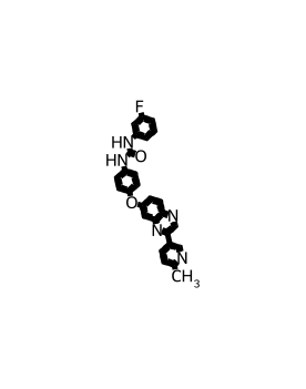 Cc1ccc(-c2cnc3ccc(Oc4ccc(NC(=O)Nc5cccc(F)c5)cc4)cc3n2)cn1